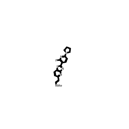 CN/C=C/c1ccc2sc(-c3ccc(N4CCCC4)nc3F)nc2n1